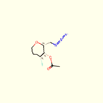 CC(=O)O[C@@H]1[C@H](F)CCO[C@@H]1CN=[N+]=[N-]